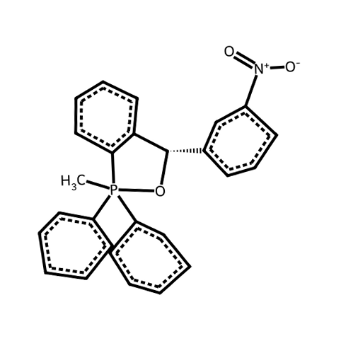 CP1(c2ccccc2)(c2ccccc2)O[C@@H](c2cccc([N+](=O)[O-])c2)c2ccccc21